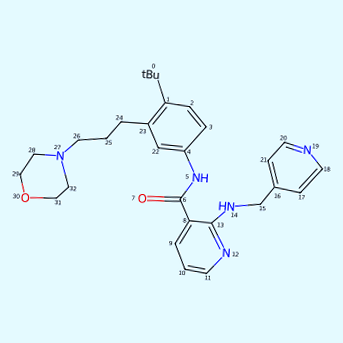 CC(C)(C)c1ccc(NC(=O)c2cccnc2NCc2ccncc2)cc1CCCN1CCOCC1